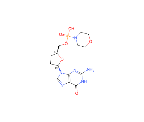 Nc1nc2c(ncn2[C@H]2CC[C@@H](COP(=O)(O)N3CCOCC3)O2)c(=O)[nH]1